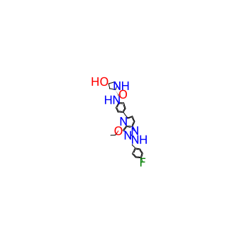 CCOc1nc(NCc2ccc(F)cc2)nc2ccc(-c3ccc(NC(=O)[C@@H]4C[C@@H](O)CN4)cc3)nc12